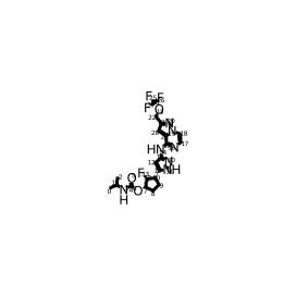 CC(C)NC(=O)O[C@H]1CC[C@@H](c2cc(Nc3nccn4nc(COC(F)(F)F)cc34)n[nH]2)[C@@H]1F